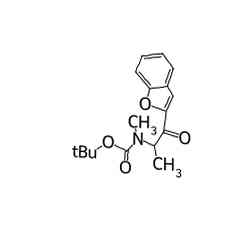 CC(C(=O)c1cc2ccccc2o1)N(C)C(=O)OC(C)(C)C